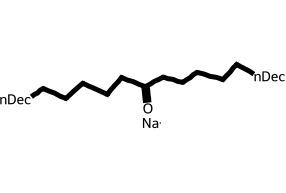 CCCCCCCCCCCCCCCC(=O)CCCCCCCCCCCCCCC.[Na]